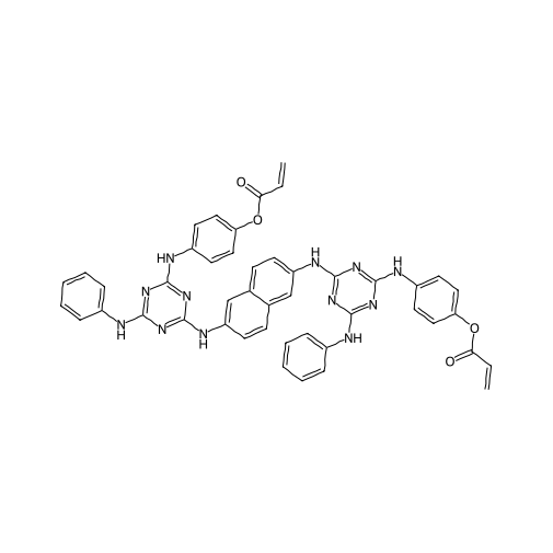 C=CC(=O)Oc1ccc(Nc2nc(Nc3ccccc3)nc(Nc3ccc4cc(Nc5nc(Nc6ccccc6)nc(Nc6ccc(OC(=O)C=C)cc6)n5)ccc4c3)n2)cc1